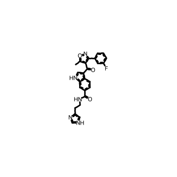 Cc1onc(-c2cccc(F)c2)c1C(=O)c1c[nH]c2cc(C(=O)NCCc3c[nH]cn3)ccc12